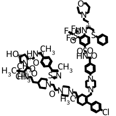 Cc1ncsc1-c1ccc([C@H](C)NC(=O)[C@@H]2C[C@@H](O)CN2C(=O)[C@@H](NC(=O)CC2CCN(CC(=O)N3CCN(C[C@]4(C)CCC(c5ccc(Cl)cc5)=C(CN5CCN(c6ccc(C(=O)NS(=O)(=O)c7ccc(N[C@H](CCN8CCCOCC8)CSc8ccccc8)c(S(=O)(=O)C(F)(F)F)c7)cc6)CC5)C4)CC3)CC2)C(C)(C)C)cc1